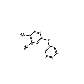 Nc1ccc(Oc2ccccc2)cc1O